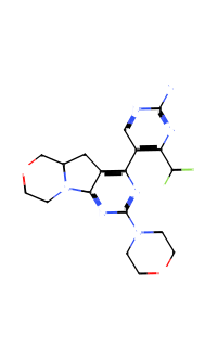 Nc1ncc(-c2nc(N3CCOCC3)nc3c2CC2COCCN32)c(C(F)F)n1